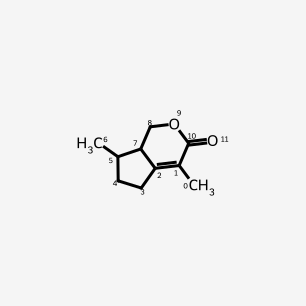 CC1=C2CCC(C)C2COC1=O